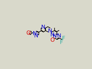 Cc1c(N2CCc3ncc(-c4cnn(C5COC5)c4)cc3C2)nn2c(=O)cc(C(F)F)nc2c1C